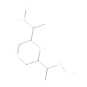 CC(NC(C)(C)C)C1CNCC(C(C)NC(C)(C)C)N1